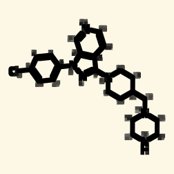 Clc1ccc(-n2nc(N3CCC(CN4CCNCC4)CC3)c3ccncc32)cc1